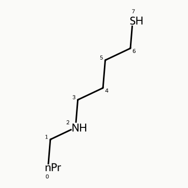 CCCCNCCCCS